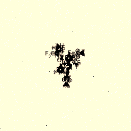 CC(C)(C#Cc1ccc(-c2ccc(F)c3c(NS(=O)(=O)C4CC4)nn(CC(F)F)c23)c([C@H](Cc2cc(F)cc(F)c2)NC(=O)Cn2nc(C(F)(F)F)c3c2C(F)(F)[C@@H]2C[C@H]32)n1)S(=O)(=O)C1CC1